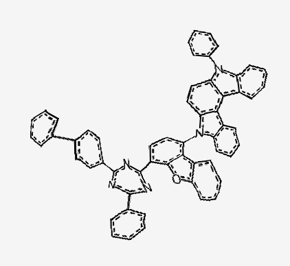 c1ccc(-c2ccc(-c3nc(-c4ccccc4)nc(-c4ccc(-n5c6ccccc6c6c7c8ccccc8n(-c8ccccc8)c7ccc65)c5c4oc4ccccc45)n3)cc2)cc1